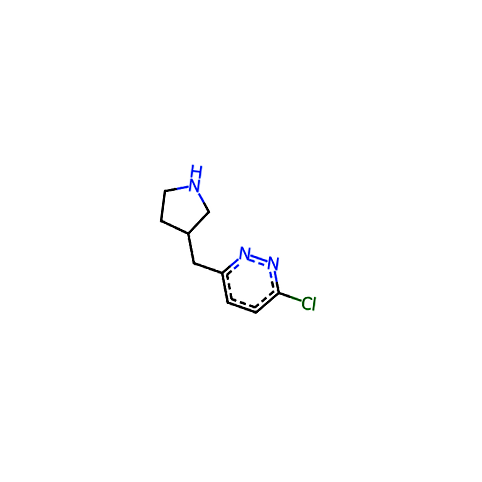 Clc1ccc(CC2CCNC2)nn1